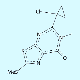 CSc1nc2c(=O)n(C)c(C3(Cl)CC3)nc2s1